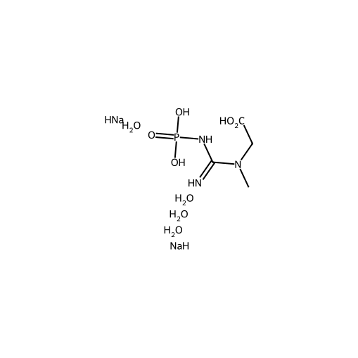 CN(CC(=O)O)C(=N)NP(=O)(O)O.O.O.O.O.[NaH].[NaH]